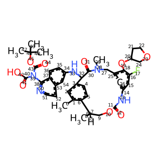 Cc1cc2ccc1[C@@H](C)COC(=O)Nc1cc(F)c(O[C@H]3CCOC3)c(c1)CN(C)C(=O)C2Nc1ccc2c(N(C(=O)O)C(=O)OC(C)(C)C)nccc2c1